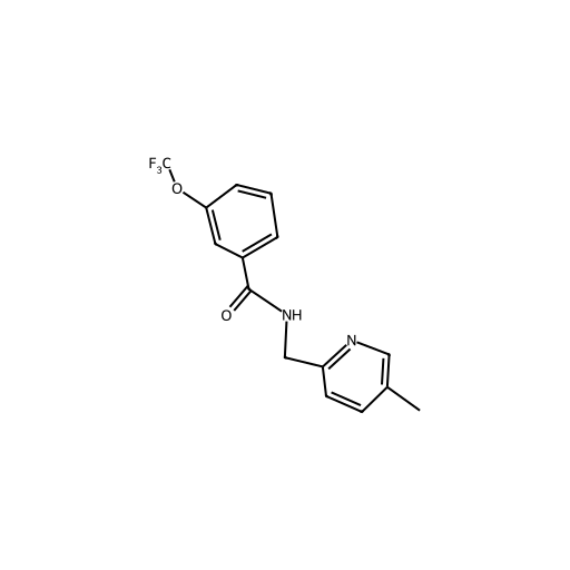 Cc1ccc(CNC(=O)c2cccc(OC(F)(F)F)c2)nc1